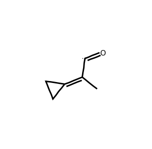 CC([C]=O)=C1CC1